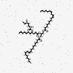 CCCCC/C=C\C/C=C\CCCCCCCC(=O)OCC(COC(=O)CCCCCCC/C=C\C/C=C\CCCCC)OC(=O)CC[C@@H](CCCCCCC)OC(=O)NCCN(C)CC